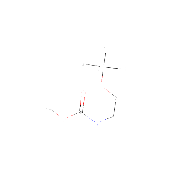 CC(C)[C@@H](CO[Si](C)(C)C(C)(C)C)NC(=O)OC(C)(C)C